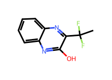 CC(F)(F)c1nc2ccccc2nc1O